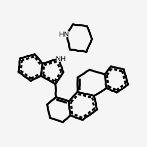 C1=c2c(ccc3c2=C(c2c[nH]c4ccccc24)CCC3)-c2ccccc2C1.C1CCNCC1